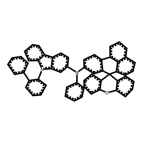 c1ccc(-c2ccccc2-n2c3ccccc3c3ccc(N(c4ccccc4)c4ccc5c(c4)C4(c6ccccc6Oc6ccccc64)c4cccc6cccc-5c46)cc32)cc1